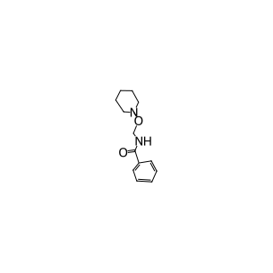 O=C(NCON1CCCCC1)c1ccccc1